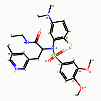 CCNC(=O)C(Cc1cncc(C)c1)N(c1cc(N(C)C)ccc1Cl)S(=O)(=O)c1ccc(OC)c(OC)c1